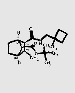 CC1(CNC(=O)[C@H]2[C@@H](N)[C@H]3CC[C@@H]2N3C(=O)OC(C)(C)C)CCC1